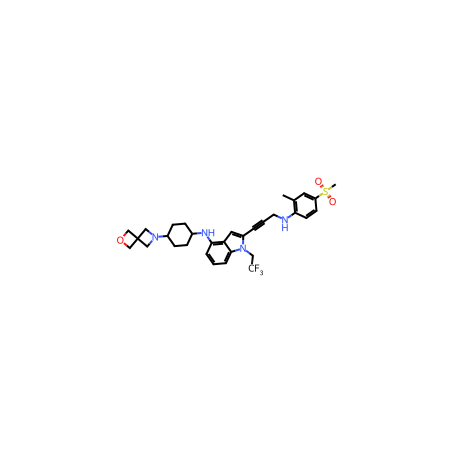 Cc1cc(S(C)(=O)=O)ccc1NCC#Cc1cc2c(NC3CCC(N4CC5(COC5)C4)CC3)cccc2n1CC(F)(F)F